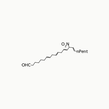 CCCCC/C=C/C(/C=C/C/C=C/C/C=C/CCCCC[C]=O)[N+](=O)[O-]